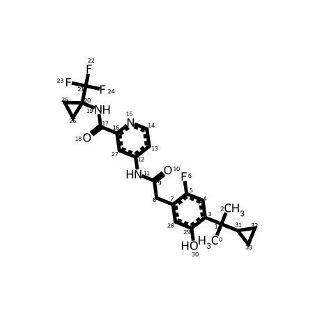 CC(C)(c1cc(F)c(CC(=O)Nc2ccnc(C(=O)NC3(C(F)(F)F)CC3)c2)cc1O)C1CC1